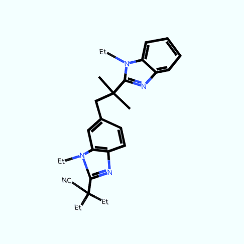 CCn1c(C(C)(C)Cc2ccc3nc(C(C#N)(CC)CC)n(CC)c3c2)nc2ccccc21